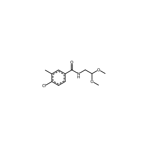 COC(CNC(=O)c1ccc(Cl)c(C)c1)OC